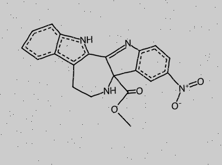 COC(=O)C12NCCc3c([nH]c4ccccc34)C1=Nc1ccc([N+](=O)[O-])cc12